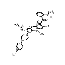 C=CC(=O)Nc1cc(Nc2ncc(Cl)c(Nc3ccccc3P(C)C)n2)c(OC)cc1N1CCN(C2CCN(C)CC2)CC1